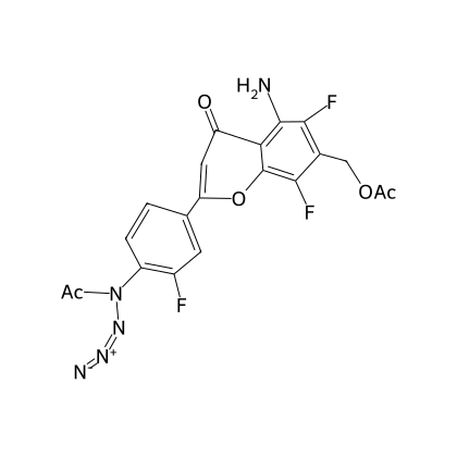 CC(=O)OCc1c(F)c(N)c2c(=O)cc(-c3ccc(N(N=[N+]=[N-])C(C)=O)c(F)c3)oc2c1F